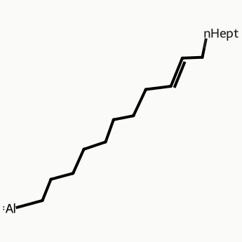 CCCCCCCCC=CCCCCCCC[CH2][Al]